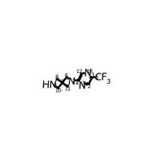 FC(F)(F)c1cnc(N2CC3(CNC3)C2)cn1